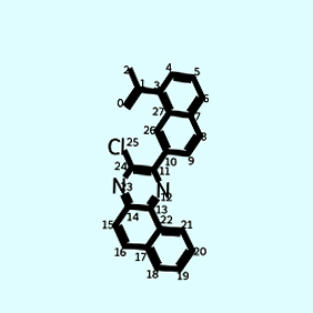 C=C(C)c1cccc2ccc(-c3nc4c(ccc5ccccc54)nc3Cl)cc12